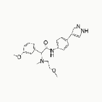 COCCN(C)C(C(=O)Nc1ccc(-c2cn[nH]c2)cc1)c1cccc(OC)c1